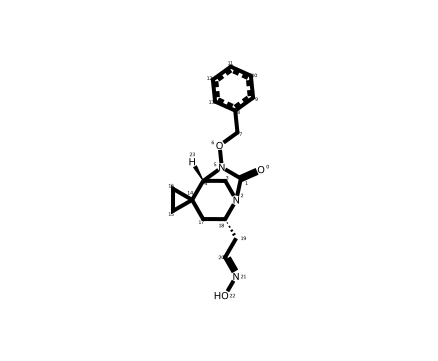 O=C1N2C[C@@H](N1OCc1ccccc1)C1(CC1)C[C@H]2C/C=N/O